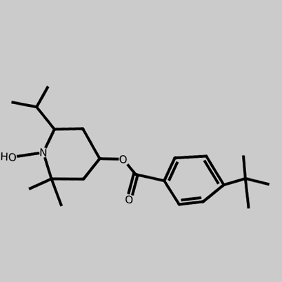 CC(C)C1CC(OC(=O)c2ccc(C(C)(C)C)cc2)CC(C)(C)N1O